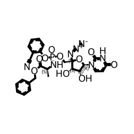 C[C@H](NP(=O)(OC[C@@]1(N=[N+]=[N-])O[C@@H](n2ccc(=O)[nH]c2=O)[C@H](O)[C@@H]1O)Oc1ccccc1C#N)C(=O)OCc1ccccc1